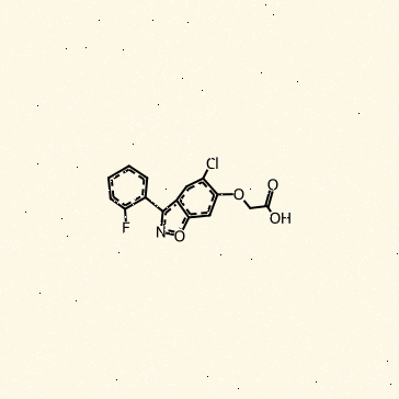 O=C(O)COc1cc2onc(-c3ccccc3F)c2cc1Cl